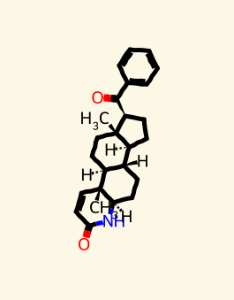 C[C@]12C=CC(=O)N[C@@H]1CC[C@@H]1[C@@H]2CC[C@]2(C)[C@@H](C(=O)c3ccccc3)CC[C@@H]12